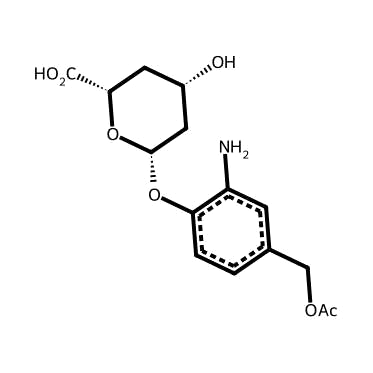 CC(=O)OCc1ccc(O[C@H]2C[C@@H](O)C[C@@H](C(=O)O)O2)c(N)c1